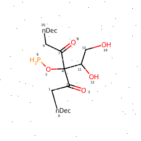 CCCCCCCCCCCC(=O)C(OP)(C(=O)CCCCCCCCCCC)C(O)CO